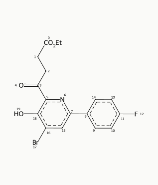 CCOC(=O)CCC(=O)c1nc(-c2ccc(F)cc2)cc(Br)c1O